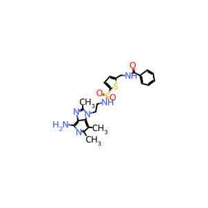 Cc1nc(N)c2nc(C)n(CCNS(=O)(=O)c3ccc(CNC(=O)c4ccccc4)s3)c2c1C